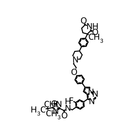 CC(C)(C)c1nc(C(=O)NCc2ccc(-c3ncnn4cc(-c5ccc(OCCN6CCC(c7ccc(C8(C)CCC(=O)NC8=O)cc7)CC6)cc5)cc34)cc2F)no1